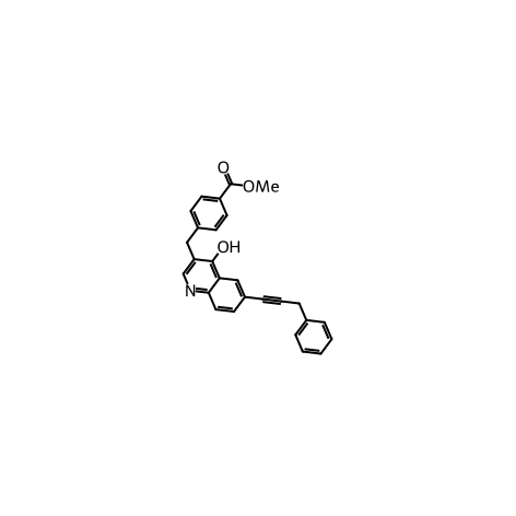 COC(=O)c1ccc(Cc2cnc3ccc(C#CCc4ccccc4)cc3c2O)cc1